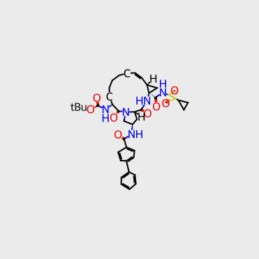 CC(C)(C)OC(=O)N[C@H]1CCCCC/C=C\[C@@H]2C[C@@]2(C(=O)NS(=O)(=O)C2CC2)NC(=O)[C@@H]2C[C@@H](NC(=O)c3ccc(-c4ccccc4)cc3)CN2C1=O